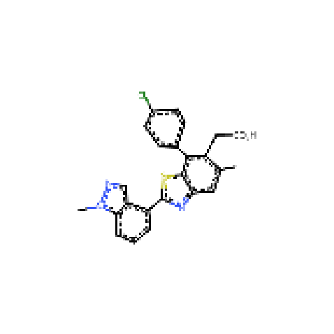 Cc1cc2nc(-c3cccc4c3cnn4C)sc2c(-c2ccc(Cl)cc2)c1CC(=O)O